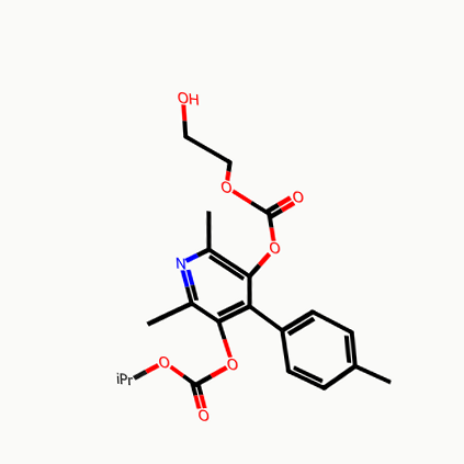 Cc1ccc(-c2c(OC(=O)OCCO)c(C)nc(C)c2OC(=O)OC(C)C)cc1